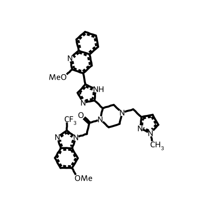 COc1ccc2nc(C(F)(F)F)n(CC(=O)N3CCN(Cc4ccn(C)n4)CC3c3ncc(-c4cc5ccccc5nc4OC)[nH]3)c2c1